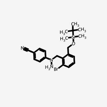 CC(C)(C)[Si](C)(C)OCc1cccc(Br)c1CN(N)c1ccc(C#N)cc1